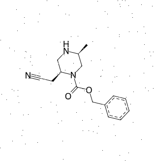 C[C@H]1CN(C(=O)OCc2ccccc2)[C@@H](CC#N)CN1